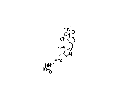 Cc1nn(Cc2ccc(S(=O)(=O)N(C)C)c(Cl)c2)c(C=O)c1CC(F)=CCNC(=O)O